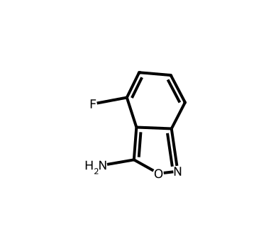 Nc1onc2cccc(F)c12